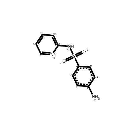 Nc1ccc(S(=O)(=O)NC2=CC=CC=[N+]2)cc1